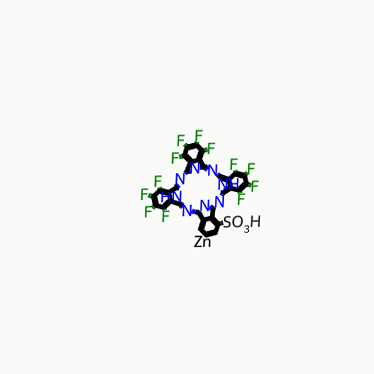 O=S(=O)(O)c1cccc2c1-c1nc-2nc2[nH]c(nc3nc(nc4[nH]c(n1)c1c(F)c(F)c(F)c(F)c41)-c1c(F)c(F)c(F)c(F)c1-3)c1c(F)c(F)c(F)c(F)c21.[Zn]